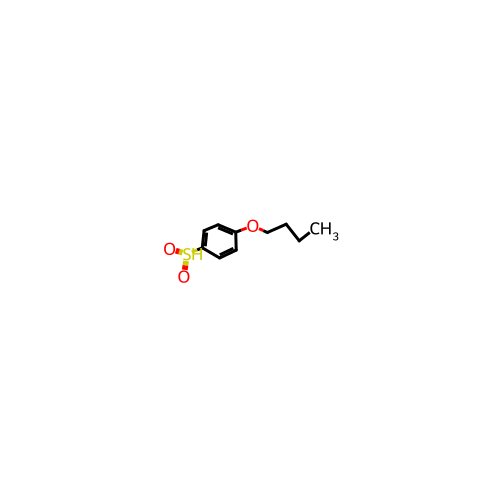 CCCCOc1ccc([SH](=O)=O)cc1